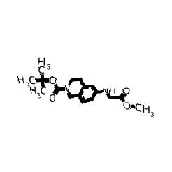 COC(=O)CNc1ccc2c(c1)CCN(C(=O)OC(C)(C)C)C2